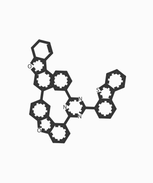 C1=Cc2c(oc3cc(-c4ccc5oc6cccc(-c7nc(-c8ccccc8)nc(-c8cccc9c8sc8ccccc89)n7)c6c5c4)ccc23)CC1